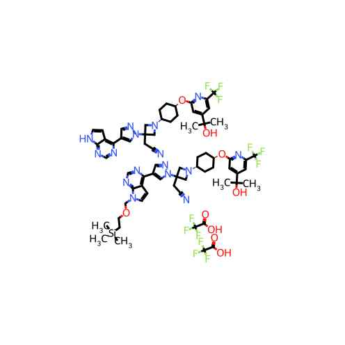 CC(C)(O)c1cc(O[C@H]2CC[C@@H](N3CC(CC#N)(n4cc(-c5ncnc6[nH]ccc56)cn4)C3)CC2)nc(C(F)(F)F)c1.CC(C)(O)c1cc(O[C@H]2CC[C@@H](N3CC(CC#N)(n4cc(-c5ncnc6c5ccn6COCC[Si](C)(C)C)cn4)C3)CC2)nc(C(F)(F)F)c1.O=C(O)C(F)(F)F.O=C(O)C(F)(F)F